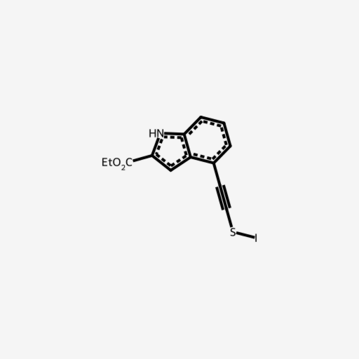 CCOC(=O)c1cc2c(C#CSI)cccc2[nH]1